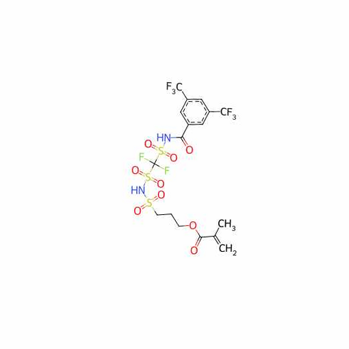 C=C(C)C(=O)OCCCS(=O)(=O)NS(=O)(=O)C(F)(F)S(=O)(=O)NC(=O)c1cc(C(F)(F)F)cc(C(F)(F)F)c1